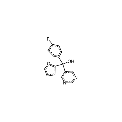 OC(c1ccc(F)cc1)(c1cncnc1)c1ccco1